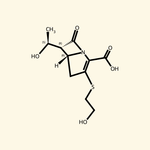 C[C@H](O)[C@@H]1C(=O)N2C(C(=O)O)=C(SCCO)C[C@H]12